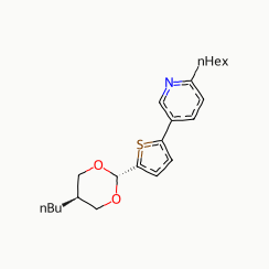 CCCCCCc1ccc(-c2ccc([C@H]3OC[C@H](CCCC)CO3)s2)cn1